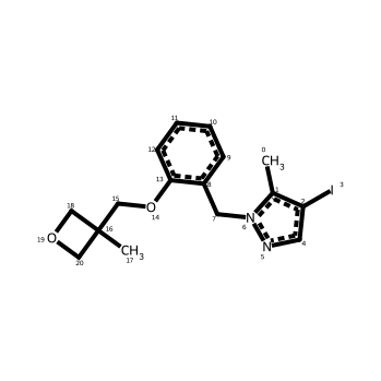 Cc1c(I)cnn1Cc1ccccc1OCC1(C)COC1